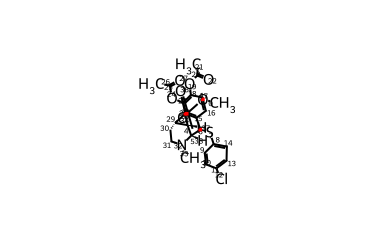 COC1=C[C@@H]2[C@@H]3[C@H](Sc4ccc(Cl)cc4)c4ccc(OC(C)=O)c(OC(C)=O)c4[C@]2(CCN3C)CC1=O